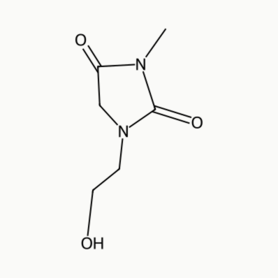 CN1C(=O)CN(CCO)C1=O